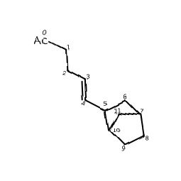 CC(=O)CCC=CC1CC2CCC1C2